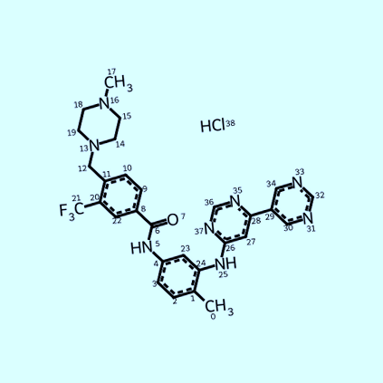 Cc1ccc(NC(=O)c2ccc(CN3CCN(C)CC3)c(C(F)(F)F)c2)cc1Nc1cc(-c2cncnc2)ncn1.Cl